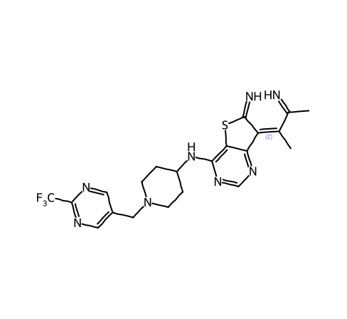 CC(=N)/C(C)=C1\C(=N)Sc2c(NC3CCN(Cc4cnc(C(F)(F)F)nc4)CC3)ncnc21